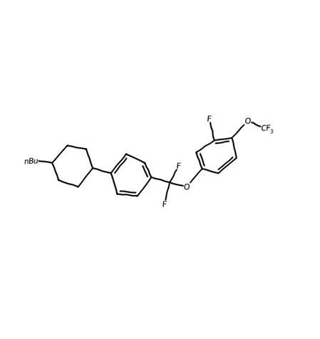 CCCCC1CCC(c2ccc(C(F)(F)Oc3ccc(OC(F)(F)F)c(F)c3)cc2)CC1